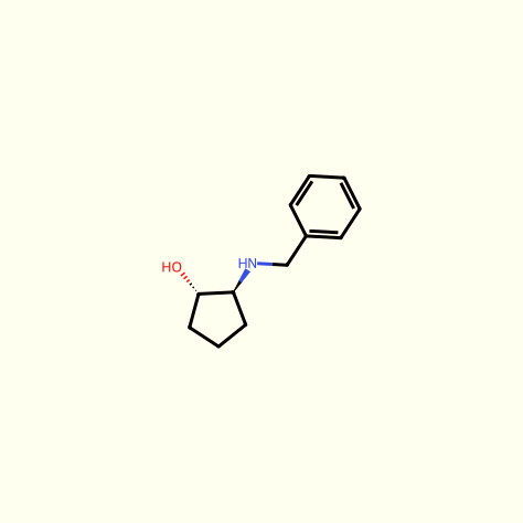 O[C@H]1CCC[C@@H]1NCc1ccccc1